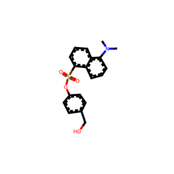 CN(C)c1cccc2c(S(=O)(=O)Oc3ccc(CO)cc3)cccc12